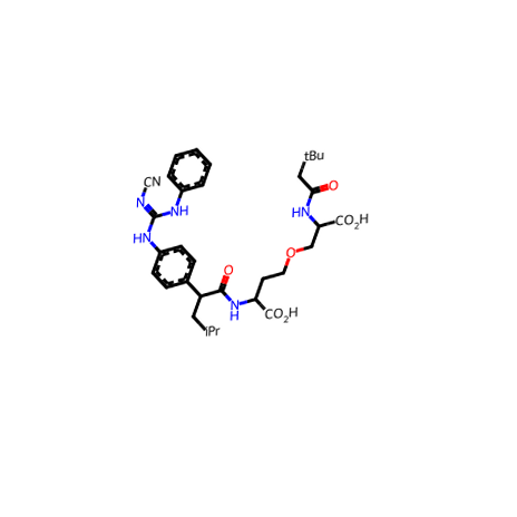 CC(C)CC(C(=O)NC(CCOCC(NC(=O)CC(C)(C)C)C(=O)O)C(=O)O)c1ccc(NC(=NC#N)Nc2ccccc2)cc1